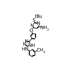 Cc1cccc(Nc2nnc(-c3cccc(Oc4cc(N)nc(SC(C)(C)C)n4)c3)[nH]2)c1